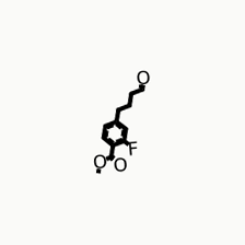 COC(=O)c1ccc(CCCC=O)cc1F